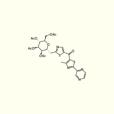 CC(=O)OC[C@H]1O[C@H](Cc2ncc(C(=O)c3sc(-c4cnccn4)nc3C)s2)[C@@H](OC(C)=O)[C@@H](OC(C)=O)[C@@H]1OC(C)=O